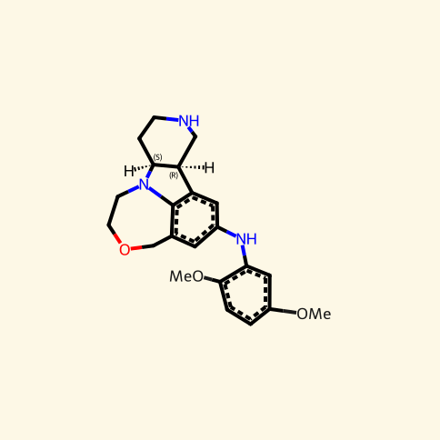 COc1ccc(OC)c(Nc2cc3c4c(c2)[C@@H]2CNCC[C@@H]2N4CCOC3)c1